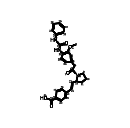 COc1cc(CC(=O)N2CCCC2/C=C/c2ccc(C(=O)O)cc2)ccc1NC(=O)Nc1ccccc1